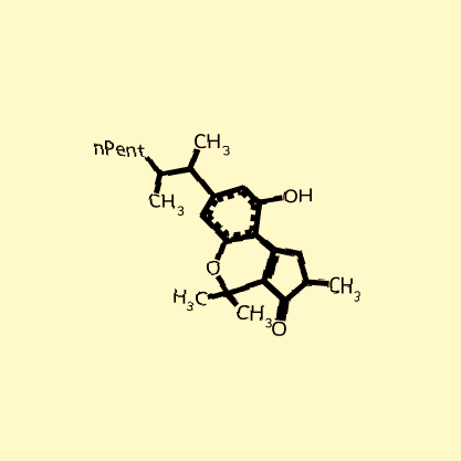 CCCCCC(C)C(C)c1cc(O)c2c(c1)OC(C)(C)C1=C2CC(C)C1=O